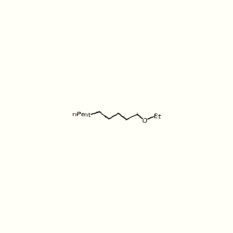 [CH2]CCCCCCCC[CH]OCC